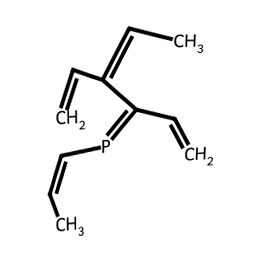 C=CC(=C/C)/C(C=C)=P\C=C/C